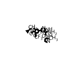 Cc1ncccc1NC(=O)c1c(N)[nH]c2ncc(-c3cc4c(c(OC(F)(F)F)c3)C(=O)N([C@@H](C)C3CC3)C4)nc12